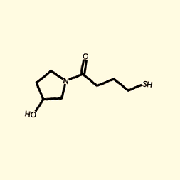 O=C(CCCS)N1CCC(O)C1